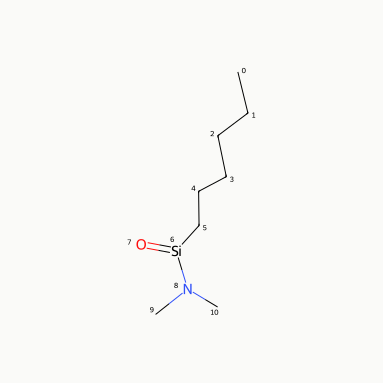 CCCCCC[Si](=O)N(C)C